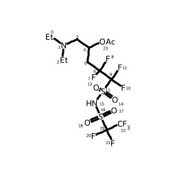 CCN(CC)CC(CC(F)(F)C(F)(F)S(=O)(=O)NS(=O)(=O)C(F)(F)C(F)(F)F)OC(C)=O